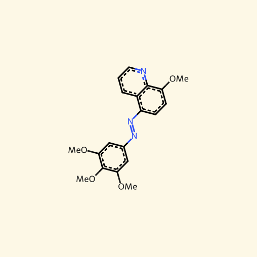 COc1cc(N=Nc2ccc(OC)c3ncccc23)cc(OC)c1OC